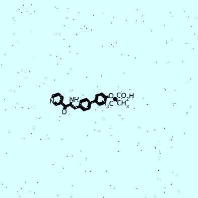 CC(C)(Oc1ccc(-c2ccc(CC(N)C(=O)c3cccnc3)cc2)cc1)C(=O)O